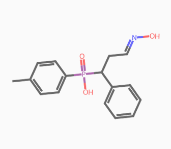 Cc1ccc(P(=O)(O)C(CC=NO)c2ccccc2)cc1